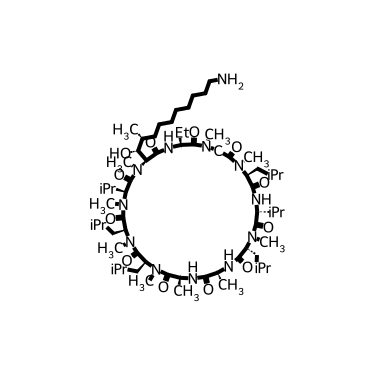 CC[C@@H]1NC(=O)[C@H]([C@H](O)[C@H](C)CCCCCCCCN)N(C)C(=O)[C@H](C(C)C)N(C)C(=O)[C@H](CC(C)C)N(C)C(=O)[C@H](CC(C)C)N(C)C(=O)[C@H](C)NC(=O)[C@@H](C)NC(=O)[C@@H](CC(C)C)N(C)C(=O)[C@@H](C(C)C)NC(=O)[C@H](CC(C)C)N(C)C(=O)CN(C)C1=O